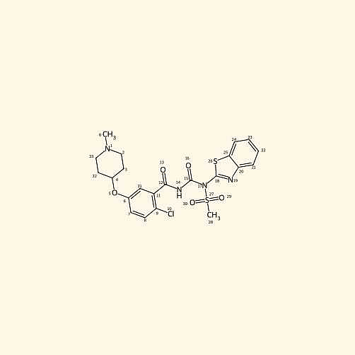 CN1CCC(Oc2ccc(Cl)c(C(=O)NC(=O)N(c3nc4ccccc4s3)S(C)(=O)=O)c2)CC1